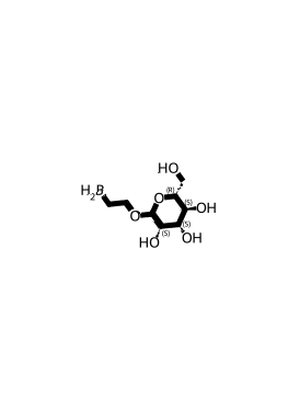 BCCOC1O[C@H](CO)[C@@H](O)[C@H](O)[C@@H]1O